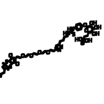 CCCC1CC2(C)SC3C(=O)N(CCOCCOCCOCCOCCn4cc(CCCCNC(=S)Nc5ccc(O[C@H]6O[C@H](CCP(=O)(O)O)[C@@H](O)[C@H](O)[C@@H]6O)cc5)nn4)C(=O)C3SC12C